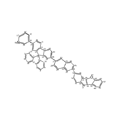 c1ccc(C2(c3ccccc3)c3cc(-c4cccnc4)ccc3-c3ccc(-c4ccc5cc(-c6ccc7nc8c9ccccc9oc8n7c6)ccc5c4)cc32)cc1